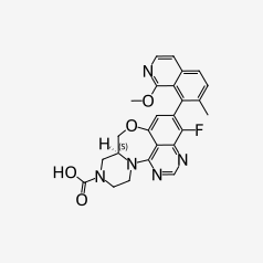 COc1nccc2ccc(C)c(-c3cc4c5c(ncnc5c3F)N3CCN(C(=O)O)C[C@H]3CO4)c12